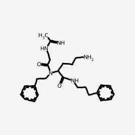 CC(=N)NCC(=O)N(CCc1ccccc1)C(CCCN)C(=O)NCCCc1ccccc1